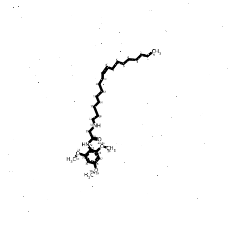 CCCCCCCC/C=C\CCCCCCCCNCC(=O)Nc1c(OC)cc(OC)cc1OC